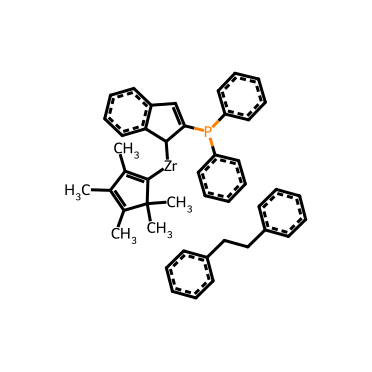 CC1=C(C)C(C)(C)[C]([Zr][CH]2C(P(c3ccccc3)c3ccccc3)=Cc3ccccc32)=C1C.c1ccc(CCc2ccccc2)cc1